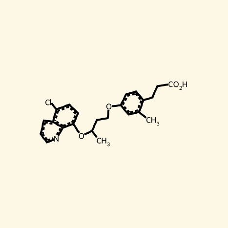 Cc1cc(OCCC(C)Oc2ccc(Cl)c3cccnc23)ccc1CCC(=O)O